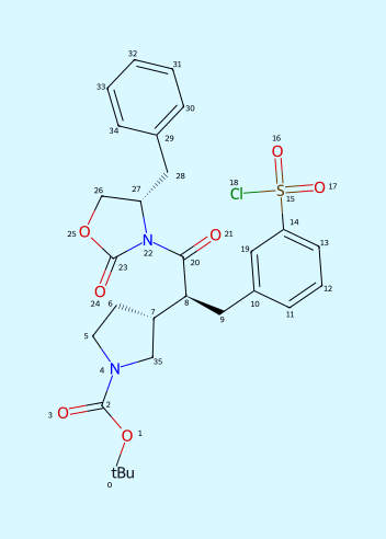 CC(C)(C)OC(=O)N1CC[C@H]([C@H](Cc2cccc(S(=O)(=O)Cl)c2)C(=O)N2C(=O)OC[C@@H]2Cc2ccccc2)C1